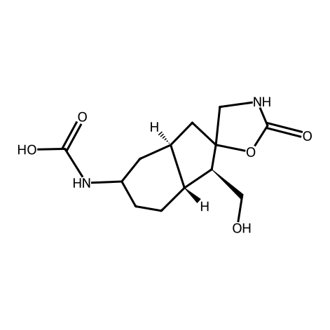 O=C(O)NC1CC[C@@H]2[C@@H](C1)CC1(CNC(=O)O1)[C@H]2CO